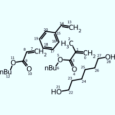 C=C(C)C(=O)OCCCC.C=CC(=O)OCCCC.C=Cc1ccccc1.OCCCCCCO